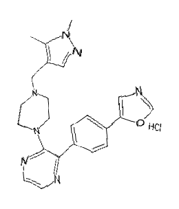 Cc1c(CN2CCN(c3nccnc3-c3ccc(-c4cnco4)cc3)CC2)cnn1C.Cl